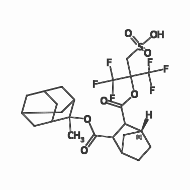 CC1(OC(=O)C2C3CC[C@H](C3)C2C(=O)OC(CS(=O)(=O)O)(C(F)(F)F)C(F)(F)F)C2CC3CC(C2)CC1C3